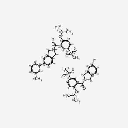 C[C@H](Oc1ccc(S(C)(=O)=O)cc1C(=O)N1Cc2ccc(I)cc2C1)C(F)(F)F.Cc1cccc(-c2ccc3c(c2)CN(C(=O)c2cc(S(C)(=O)=O)ccc2OC(C)C(F)(F)F)C3)c1